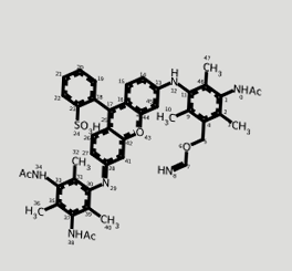 CC(=O)Nc1c(C)c(COC=N)c(C)c(Nc2ccc3c(-c4ccccc4S(=O)(=O)O)c4ccc(=Nc5c(C)c(NC(C)=O)c(C)c(NC(C)=O)c5C)cc-4oc3c2)c1C